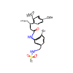 CCCCCC(CC(=O)Nc1cc(CNS(=O)(=O)CC)ccc1C(C)(C)C)c1ccc(OC)cc1OC